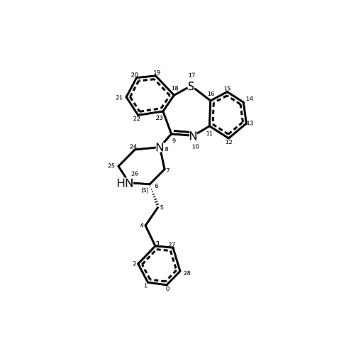 c1ccc(CC[C@H]2CN(C3=Nc4ccccc4Sc4ccccc43)CCN2)cc1